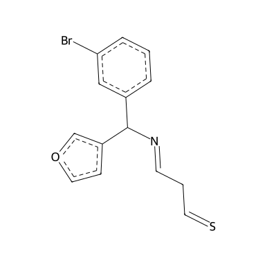 S=CCC=NC(c1ccoc1)c1cccc(Br)c1